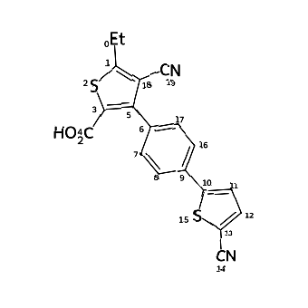 CCc1sc(C(=O)O)c(-c2ccc(-c3ccc(C#N)s3)cc2)c1C#N